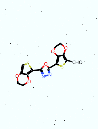 O=Cc1sc(-c2nnc(-c3scc4c3OCCO4)o2)c2c1OCCO2